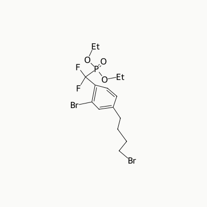 CCOP(=O)(OCC)C(F)(F)c1ccc(CCCCBr)cc1Br